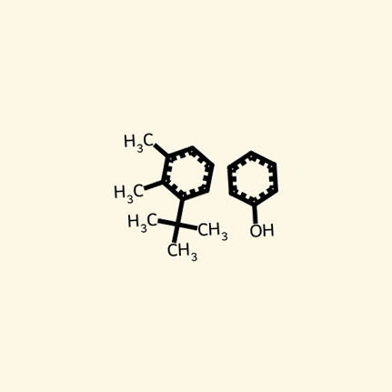 Cc1cccc(C(C)(C)C)c1C.Oc1ccccc1